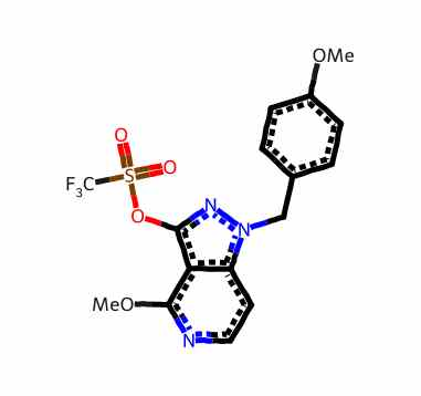 COc1ccc(Cn2nc(OS(=O)(=O)C(F)(F)F)c3c(OC)nccc32)cc1